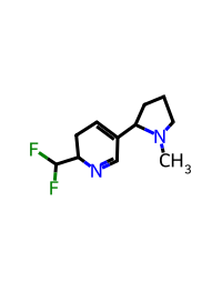 CN1CCCC1C1=CCC(C(F)F)N=C1